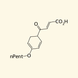 CCCCCOC1=CCC(C(=O)/C=C/C(=O)O)C=C1